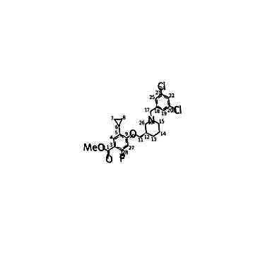 COC(=O)c1cc(C2CC2)c(OC[C@@H]2CCCN(Cc3cc(Cl)cc(Cl)c3)C2)cc1F